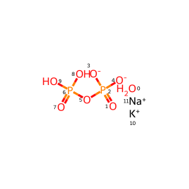 O.O=P([O-])([O-])OP(=O)(O)O.[K+].[Na+]